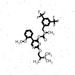 COc1ccccc1-c1cnc(OCC(C)N(C)C)nc1OC(=O)N(C)Cc1cc(C(F)(F)F)cc(C(F)(F)F)c1